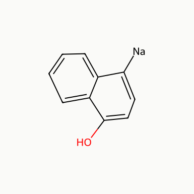 Oc1cc[c]([Na])c2ccccc12